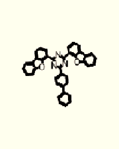 c1ccc(-c2ccc(-c3nc(-c4cccc5c4oc4ccccc45)nc(-c4cccc5c4oc4ccccc45)n3)cc2)cc1